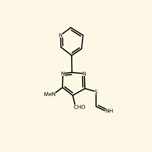 CNc1nc(-c2cccnc2)nc(SC=N)c1C=O